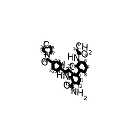 C=CC(=O)Nc1cccc(-c2ccc(C(N)=O)c3[nH]c(-c4ccc(C(=O)N5CCOCC5)cc4)cc23)c1C